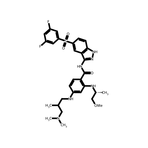 COC[C@@H](C)Nc1cc(NCC(C)CN(C)C)ccc1C(=O)Nc1n[nH]c2ccc(S(=O)(=O)c3cc(F)cc(F)c3)cc12